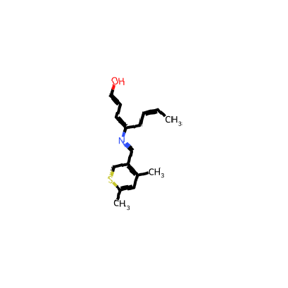 C/C=C\CC(=C\C=C\O)/N=C/C1=C(C)C=C(C)SC1